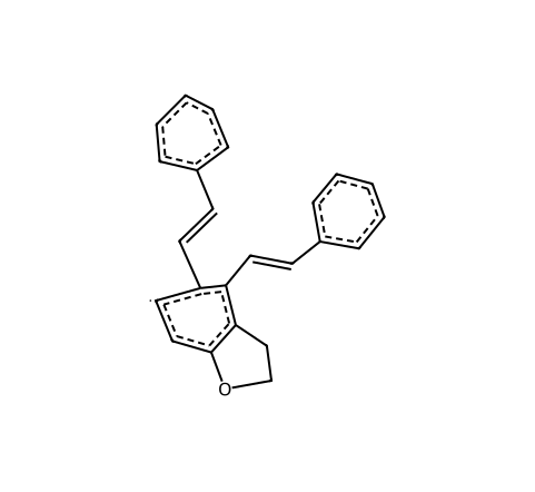 [c]1cc2c(c(C=Cc3ccccc3)c1C=Cc1ccccc1)CCO2